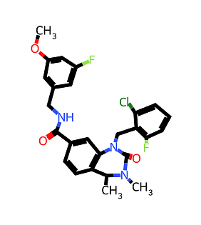 COc1cc(F)cc(CNC(=O)c2ccc3c(c2)N(Cc2c(F)cccc2Cl)C(=O)N(C)C3C)c1